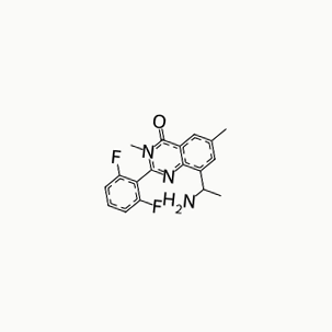 Cc1cc(C(C)N)c2nc(-c3c(F)cccc3F)n(C)c(=O)c2c1